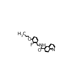 CCCOc1cccc(CNC(=O)c2ccc3ncccc3c2)c1F